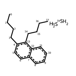 CCCCc1ccc2ccccc2c1CCCC.S.S